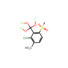 CS(=O)(=O)c1ccc(C(=O)O)c(Cl)c1C(OF)(OF)OF